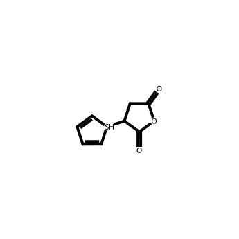 O=C1CC([SH]2C=CC=C2)C(=O)O1